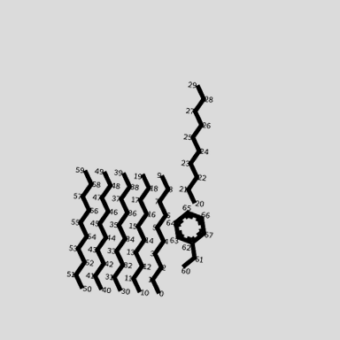 CCCCCCCCCC.CCCCCCCCCC.CCCCCCCCCC.CCCCCCCCCC.CCCCCCCCCC.CCCCCCCCCC.CCc1ccccc1